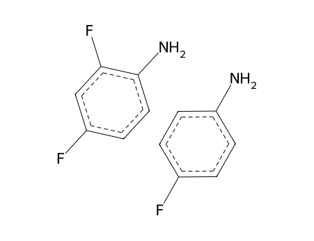 Nc1ccc(F)cc1.Nc1ccc(F)cc1F